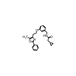 Cc1oc(-c2ccccc2)nc1CCOc1[c]c(CNC(=O)CC2CC2)ccc1